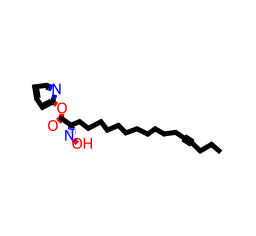 CCCC#CCCCCCCCCCCC/C(=N\O)C(=O)Oc1ccccn1